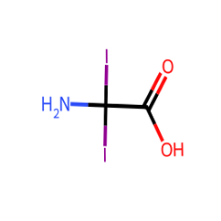 NC(I)(I)C(=O)O